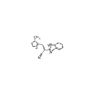 Cc1ccsc1/C=C(\C#N)c1nc2ccccc2[nH]1